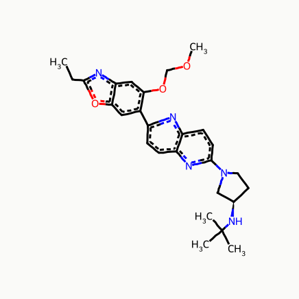 CCc1nc2cc(OCOC)c(-c3ccc4nc(N5CC[C@@H](NC(C)(C)C)C5)ccc4n3)cc2o1